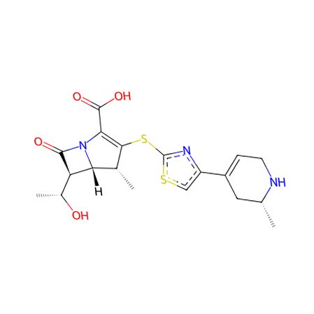 C[C@@H]1CC(c2csc(SC3=C(C(=O)O)N4C(=O)[C@H]([C@@H](C)O)[C@H]4[C@H]3C)n2)=CCN1